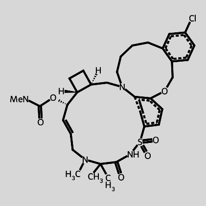 CNC(=O)O[C@H]1/C=C/CN(C)C(C)(C)C(=O)NS(=O)(=O)c2ccc3c(c2)N(CCCCc2cc(Cl)ccc2CO3)C[C@@H]2CC[C@H]21